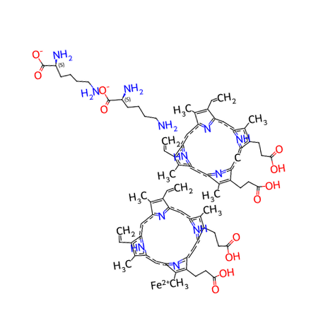 C=CC1=C(C)c2cc3[nH]c(cc4nc(cc5[nH]c(cc1n2)c(C)c5CCC(=O)O)C(CCC(=O)O)=C4C)c(C)c3C=C.C=CC1=C(C)c2cc3[nH]c(cc4nc(cc5[nH]c(cc1n2)c(C)c5CCC(=O)O)C(CCC(=O)O)=C4C)c(C)c3C=C.NCCCC[C@H](N)C(=O)[O-].NCCCC[C@H](N)C(=O)[O-].[Fe+2]